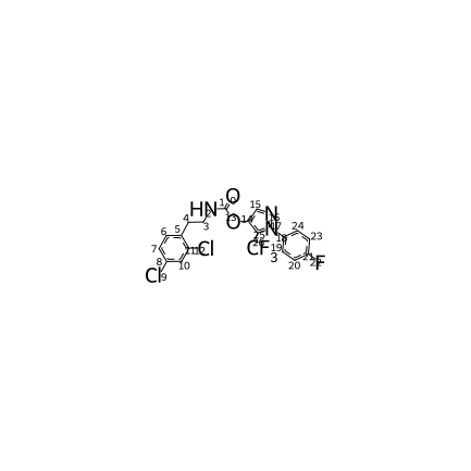 O=C(NCCc1ccc(Cl)cc1Cl)Oc1cnn(-c2ccc(F)cc2)c1C(F)(F)F